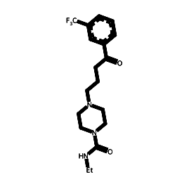 CCNC(=O)N1CCN(CCCC(=O)c2cccc(C(F)(F)F)c2)CC1